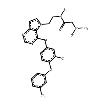 CCN(CCn1ccc2ncnc(Nc3ccc(Oc4cccc(C(F)(F)F)c4)c(Cl)c3)c21)C(=O)C[S+](C)[O-]